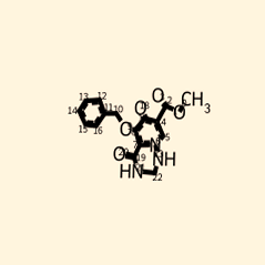 COC(=O)c1cn2c(c(OCc3ccccc3)c1=O)C(=O)NCN2